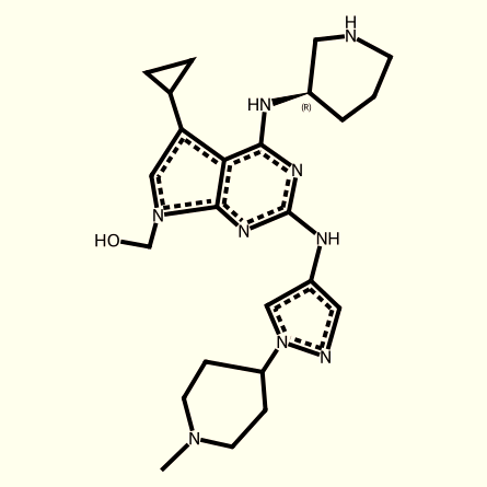 CN1CCC(n2cc(Nc3nc(N[C@@H]4CCCNC4)c4c(C5CC5)cn(CO)c4n3)cn2)CC1